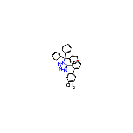 [CH2]c1ccc(-c2ccccc2-c2nnnn2C(c2ccccc2)(c2ccccc2)c2ccccc2)cc1